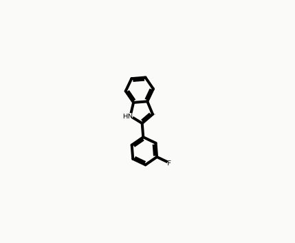 Fc1cccc(-c2[c]c3ccccc3[nH]2)c1